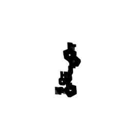 N#C[C@@H]1CCCN1C(=O)CNCCN1CCc2cc(Br)ccc21